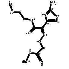 CCSCCOC(=O)C(=NOCC(=O)OC(C)(C)C)c1csc(N)n1